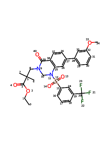 CCOC(=O)C(C)(C)CN1CN(S(=O)(=O)c2cccc(C(F)(F)F)c2)c2cc(-c3cccc(OC)c3)ccc2C1=O